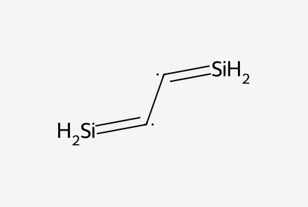 [SiH2]=[C][C]=[SiH2]